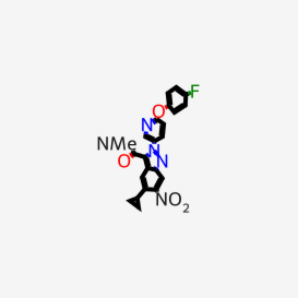 CNC(=O)c1c2cc(C3CC3)c([N+](=O)[O-])cc2nn1-c1ccc(Oc2ccc(F)cc2)nc1